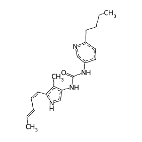 CC=C/C=C\c1[nH]cc(NC(=O)Nc2ccc(CCCC)nc2)c1C